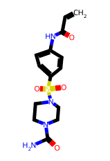 C=CC(=O)Nc1ccc(S(=O)(=O)N2CCN(C(N)=O)CC2)cc1